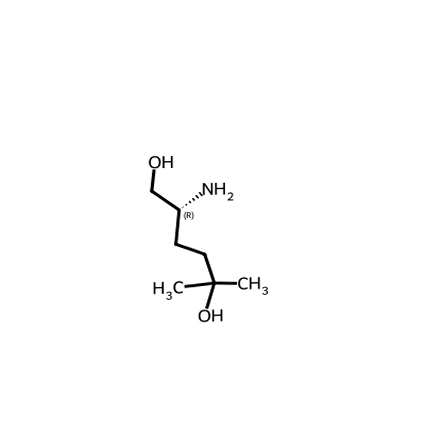 CC(C)(O)CC[C@@H](N)CO